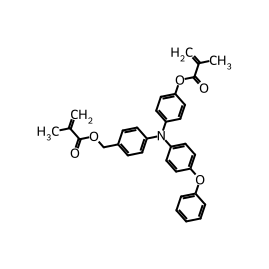 C=C(C)C(=O)OCc1ccc(N(c2ccc(OC(=O)C(=C)C)cc2)c2ccc(Oc3ccccc3)cc2)cc1